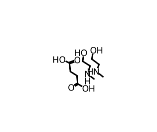 CNCCO.CNCCO.O=C(O)CCC(=O)O